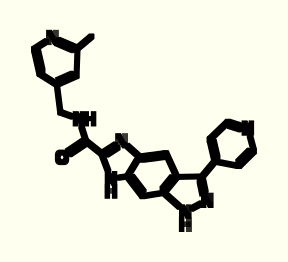 Cc1cc(CNC(=O)c2nc3cc4c(-c5ccncc5)n[nH]c4cc3[nH]2)ccn1